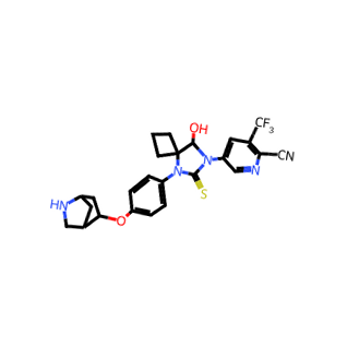 N#Cc1ncc(N2C(=S)N(c3ccc(OC4CC5CC4CN5)cc3)C3(CCC3)C2O)cc1C(F)(F)F